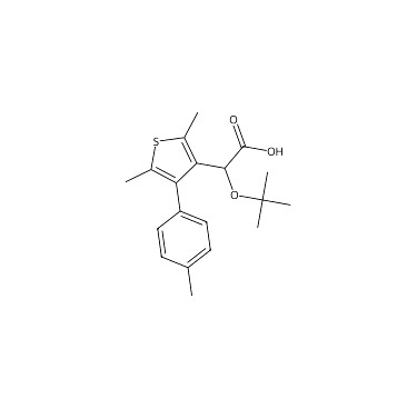 Cc1ccc(-c2c(C)sc(C)c2C(OC(C)(C)C)C(=O)O)cc1